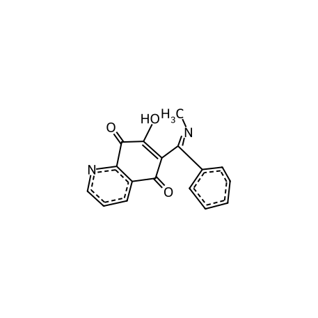 C/N=C(\C1=C(O)C(=O)c2ncccc2C1=O)c1ccccc1